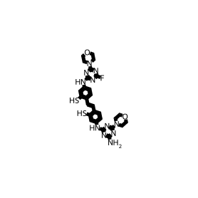 Nc1nc(Nc2ccc(/C=C/c3ccc(Nc4nc(F)nc(N5CCOCC5)n4)cc3S)c(S)c2)nc(N2CCOCC2)n1